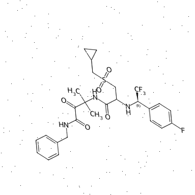 CC(C)(NC(=O)C(CS(=O)(=O)CC1CC1)N[C@H](c1ccc(F)cc1)C(F)(F)F)C(=O)C(=O)NCc1ccccc1